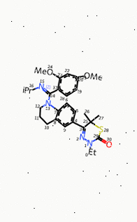 CCN1N=C(c2ccc3c(c2)CCCN3/C(=N\C(C)C)c2ccc(OC)cc2OC)C(C)(C)SC1=O